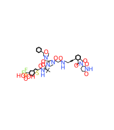 CC(C)(C)[C@H](NC(=O)c1cc2cc(C(F)(F)P(=O)(O)O)ccc2s1)C(=O)N1CCN(C(=O)CC(=O)NCCC#Cc2cccc3c2C(=O)N(C2CCC(=O)NC2=O)C3=O)C[C@H]1C(=O)N1CCOC(c2ccccc2)C1